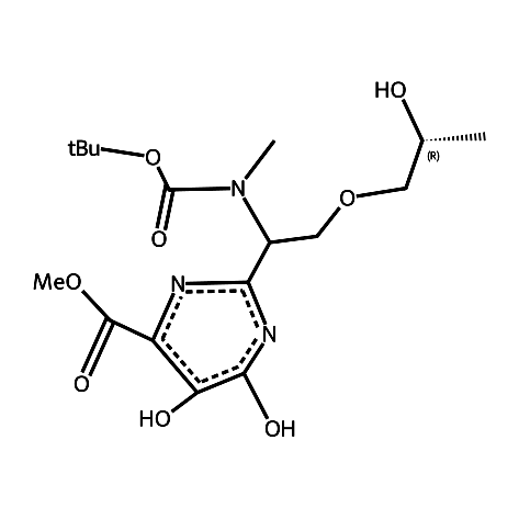 COC(=O)c1nc(C(COC[C@@H](C)O)N(C)C(=O)OC(C)(C)C)nc(O)c1O